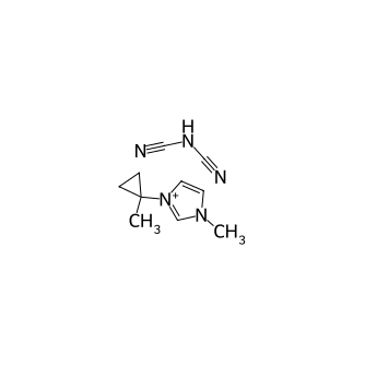 Cn1cc[n+](C2(C)CC2)c1.N#CNC#N